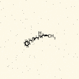 CC#CCCNCCCOCCN1CCCCC1